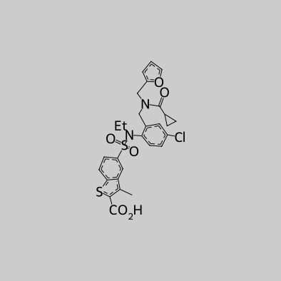 CCN(c1ccc(Cl)cc1CN(Cc1ccco1)C(=O)C1CC1)S(=O)(=O)c1ccc2sc(C(=O)O)c(C)c2c1